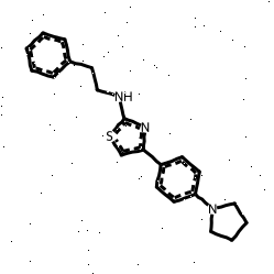 c1ccc(CCNc2nc(-c3ccc(N4CCCC4)cc3)cs2)cc1